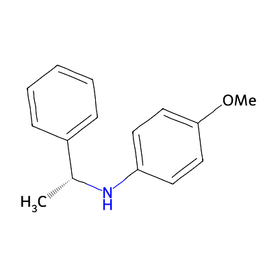 COc1ccc(N[C@H](C)c2ccccc2)cc1